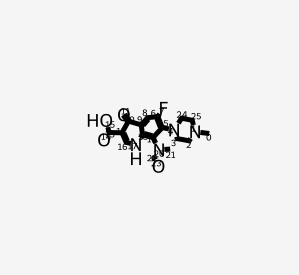 CN1CCN(c2c(F)cc3c(=O)c(C(=O)O)c[nH]c3c2N(C)C=O)CC1